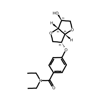 CCN(CC)C(=O)c1ccc(O[C@@H]2CO[C@H]3[C@@H]2OC[C@@H]3O)cc1